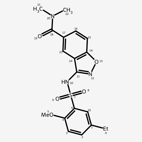 CCc1ccc(OC)c(S(=O)(=O)Nc2noc3ccc(C(=O)N(C)C)cc23)c1